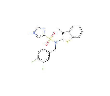 Cc1c(N(Cc2ccc(F)c(F)c2)S(=O)(=O)c2cn(C)cn2)sc2ccccc12